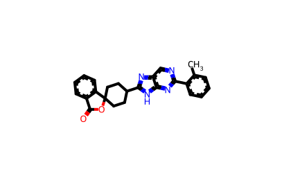 Cc1ccccc1-c1ncc2nc(C3CCC4(CC3)OC(=O)c3ccccc34)[nH]c2n1